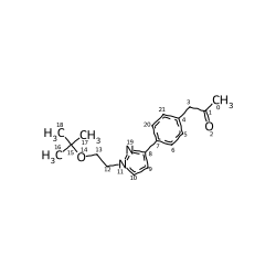 CC(=O)Cc1ccc(-c2ccn(CCOC(C)(C)C)n2)cc1